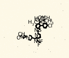 CC(=O)N1CC(N2CCC(c3nn(C(F)F)c4ccc(-c5nc6cc(C)c([C@H](OC(C)(C)C)C(=O)O)c(-c7ccc(Cl)cc7)c6s5)nc34)CC2)C1